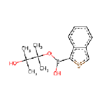 CC(C)(O)C(C)(C)OB(O)c1scc2ccccc12